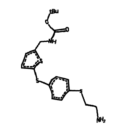 CC(C)(C)OC(=O)NCc1ccc(Sc2ccc(SCCN)cc2)s1